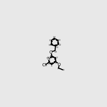 CCOc1cc(Cl)nc(OCc2ccccc2)c1